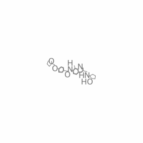 Cc1c(NC(=O)c2ccc(OCC3CCCO3)cc2)ccc2cc(CN[C@H]3CCCC3O)cnc12